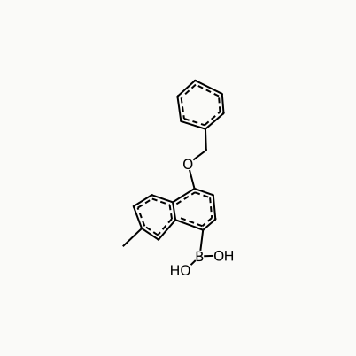 Cc1ccc2c(OCc3ccccc3)ccc(B(O)O)c2c1